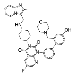 Cc1nc2ccccn2c1CN[C@H]1CC[C@@H](n2c(=O)c3cc(F)cnc3n(-c3cccc(-c4ccc(O)cc4CN4CCOCC4)c3)c2=O)CC1